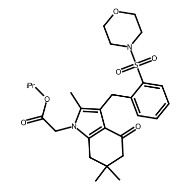 Cc1c(Cc2ccccc2S(=O)(=O)N2CCOCC2)c2c(n1CC(=O)OC(C)C)CC(C)(C)CC2=O